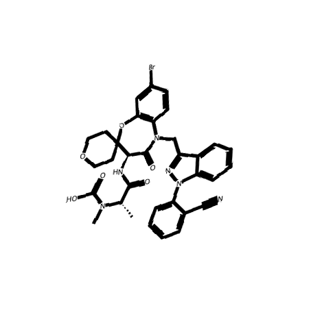 C[C@@H](C(=O)N[C@@H]1C(=O)N(Cc2nn(-c3ccccc3C#N)c3ccccc23)c2ccc(Br)cc2OC12CCOCC2)N(C)C(=O)O